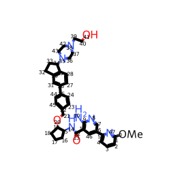 COc1cccc(-c2cnc(N)c(C(=O)N[C@H]3CCC[C@@H]3OCc3ccc(-c4ccc5c(c4)CC[C@@H]5N4CCN(CCO)CC4)cc3)c2)n1